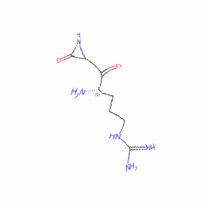 N=C(N)NCCC[C@H](N)C(=O)C1NC1=O